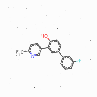 Oc1ccc(-c2cccc(F)c2)cc1-c1ccc(C(F)(F)F)nc1